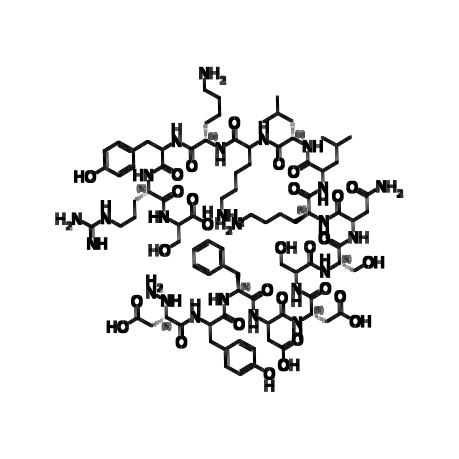 CC(C)CC(NC(=O)[C@H](CCCCN)NC(=O)C(CC(N)=O)NC(=O)[C@H](CO)NC(=O)C(CO)NC(=O)[C@H](CC(=O)O)NC(=O)C(CC(=O)O)NC(=O)[C@H](Cc1ccccc1)NC(=O)C(Cc1ccc(O)cc1)NC(=O)[C@H](CC(=O)O)NN)C(=O)N[C@@H](CC(C)C)C(=O)NC(CCCCN)C(=O)N[C@@H](CCCCN)C(=O)NC(Cc1ccc(O)cc1)C(=O)N[C@@H](CCCNC(=N)N)C(=O)NC(CO)C(=O)O